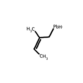 CC=C(C)[CH2][PbH]